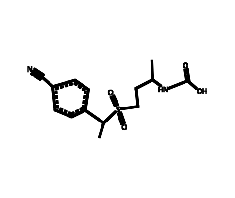 CC(CCS(=O)(=O)C(C)c1ccc(C#N)cc1)NC(=O)O